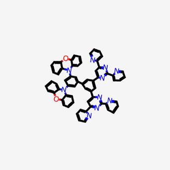 c1ccc(-c2cc(-c3cc(-c4cc(N5c6ccccc6Oc6ccccc65)cc(N5c6ccccc6Oc6ccccc65)c4)cc(-c4cc(-c5ccccn5)nc(-c5ccccn5)n4)c3)nc(-c3ccccn3)n2)nc1